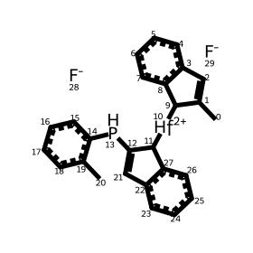 CC1=Cc2ccccc2[CH]1[Hf+2][CH]1C(Pc2ccccc2C)=Cc2ccccc21.[F-].[F-]